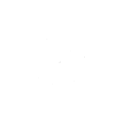 [O]C1=CCCc2ccccc21